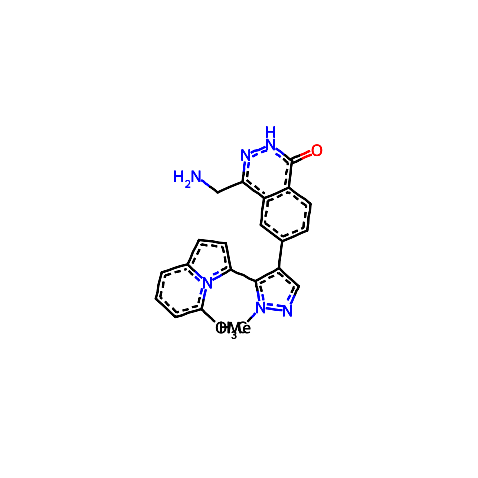 COc1cccc2ccc(-c3c(-c4ccc5c(=O)[nH]nc(CN)c5c4)cnn3C)n12